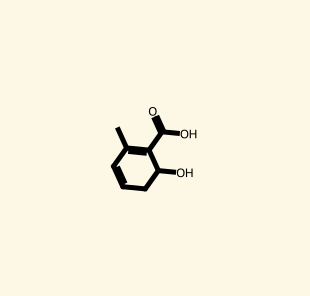 CC1=C(C(=O)O)C(O)CC=C1